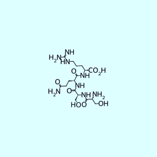 N=C(N)NCCC[C@H](NC(=O)[C@H](CCC(N)=O)NC(=O)[C@H](CO)NC(=O)[C@@H](N)CO)C(=O)O